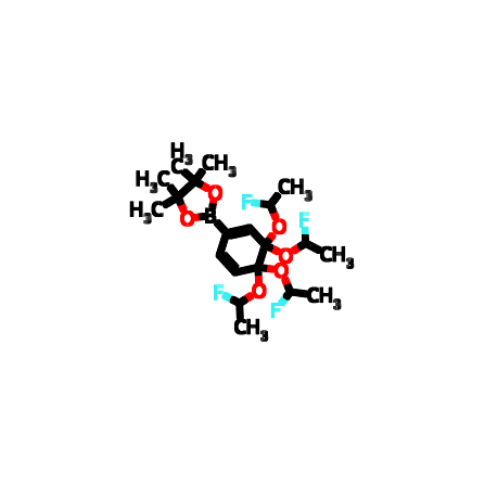 CC(F)OC1(OC(C)F)C=CC(B2OC(C)(C)C(C)(C)O2)=CC1(OC(C)F)OC(C)F